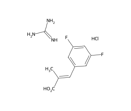 C/C(=C\c1cc(F)cc(F)c1)C(=O)O.Cl.N=C(N)N